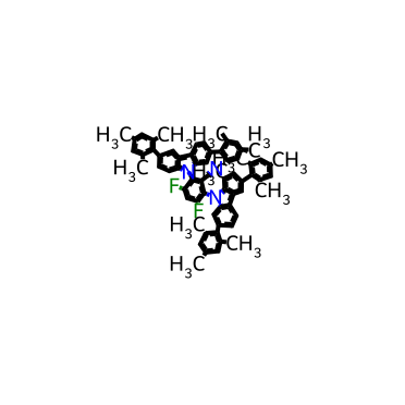 Cc1cc(C)c(-c2ccc3c(c2)c2ccc(-c4c(C)cc(C)cc4C)cc2n3-c2c(F)cc(F)c(-n3c4ccc(-c5c(C)cc(C)cc5C)cc4c4ccc(-c5c(C)cc(C)cc5C)cc43)c2C#N)c(C)c1